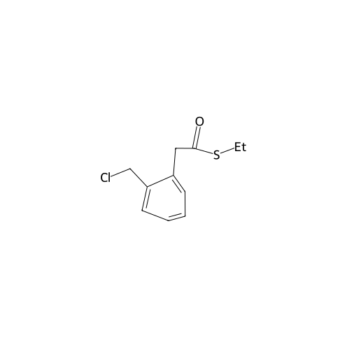 CCSC(=O)Cc1ccccc1CCl